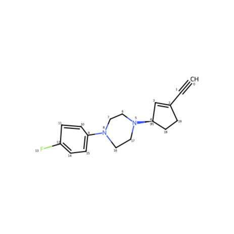 C#CC1=C[C@H](N2CCN(c3ccc(F)cc3)CC2)CC1